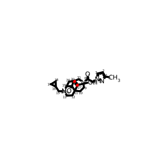 Cc1ccn(CC(=O)N2CCC34CCN(CC5CC5)C(Cc5ccc(O)cc53)C4(O)CC2)n1